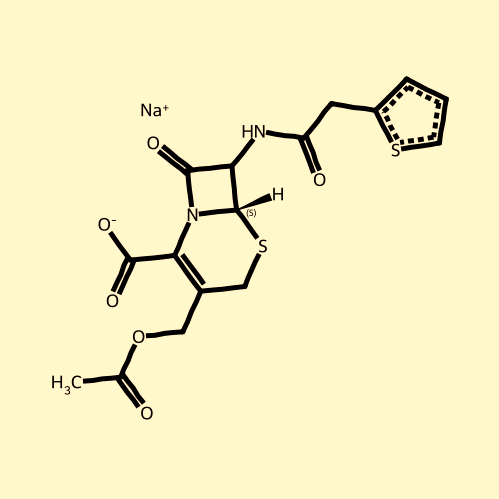 CC(=O)OCC1=C(C(=O)[O-])N2C(=O)C(NC(=O)Cc3cccs3)[C@@H]2SC1.[Na+]